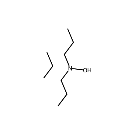 CCC.CCCN(O)CCC